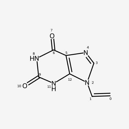 C=Cn1cnc2c(=O)[nH]c(=O)[nH]c21